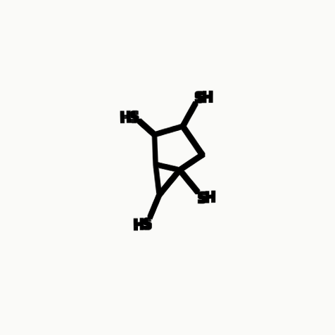 SC1CC2(S)C(S)C2C1S